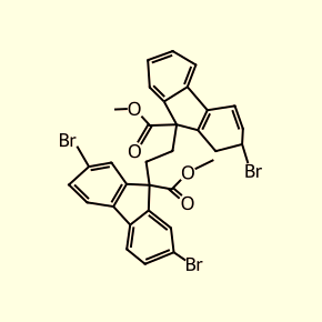 COC(=O)C1(CCC2(C(=O)OC)c3cc(Br)ccc3-c3ccc(Br)cc32)C2=C(C=CC(Br)C2)c2ccccc21